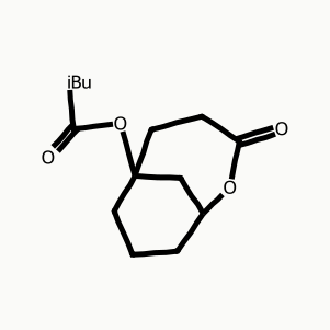 CCC(C)C(=O)OC12CCCC(C1)OC(=O)CC2